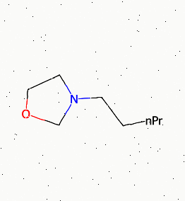 CCCCCN1CCOC1